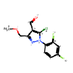 COCc1nn(-c2ccc(F)cc2F)c(Cl)c1C=O